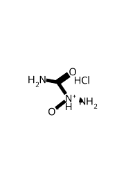 Cl.NC(=O)[NH+](N)[O-]